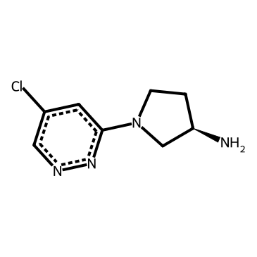 N[C@@H]1CCN(c2cc(Cl)cnn2)C1